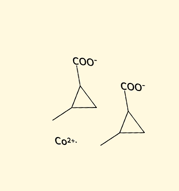 CC1CC1C(=O)[O-].CC1CC1C(=O)[O-].[Co+2]